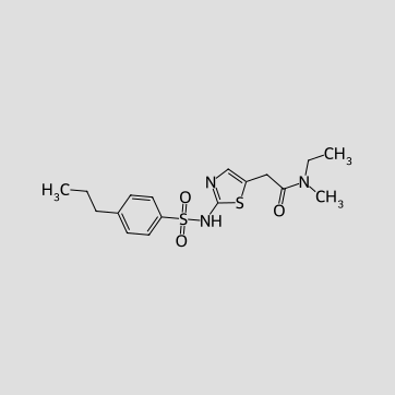 CCCc1ccc(S(=O)(=O)Nc2ncc(CC(=O)N(C)CC)s2)cc1